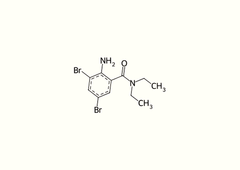 CCN(CC)C(=O)c1cc(Br)cc(Br)c1N